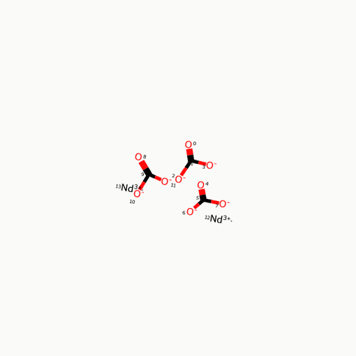 O=C([O-])[O-].O=C([O-])[O-].O=C([O-])[O-].[Nd+3].[Nd+3]